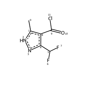 Cc1[nH]nc(C(F)F)c1C(=O)Cl